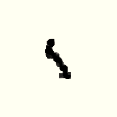 O=C(Nc1ccc(OC(=O)N2CCC(CSc3ncc[nH]3)CC2)cc1)c1ccc(CN2CCCCC2)cc1